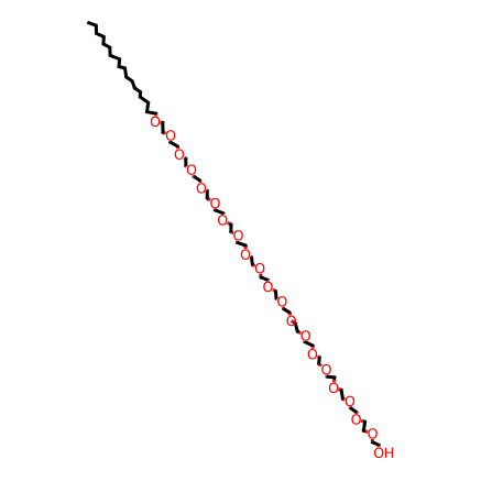 CCCCCCCCCCCCCCCCCCOCCOCCOCCOCCOCCOCCOCCOCCOCCOCCOCCOCCOCCOCCOCCOCCOCCOCCOCCOCCO